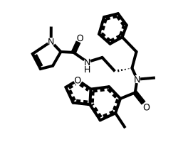 Cc1cc2ccoc2cc1C(=O)N(C)[C@H](CCNC(=O)C1CC=CN1C)Cc1ccccc1